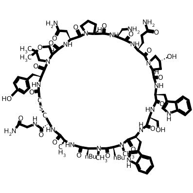 CCCC[C@H]1C(=O)N(C)[C@@H](CCCC)C(=O)N[C@@H](C)C(=O)N[C@H](C(=O)NCC(N)=O)CSCC(=O)N[C@@H](Cc2ccc(O)cc2)C(=O)N2CC(C)(C)OC[C@H]2C(=O)N[C@@H](CC(N)=O)C(=O)N2CCC[C@H]2C(=O)N[C@@H](CN)C(=O)N[C@@H](CCC(N)=O)C(=O)N2C[C@H](O)C[C@H]2C(=O)N[C@@H](Cc2c[nH]c3ccccc23)C(=O)N[C@@H](CO)C(=O)N[C@@H](Cc2c[nH]c3ccccc23)C(=O)N1C